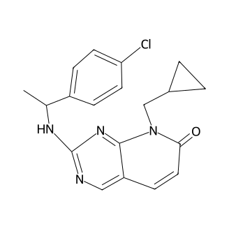 CC(Nc1ncc2ccc(=O)n(CC3CC3)c2n1)c1ccc(Cl)cc1